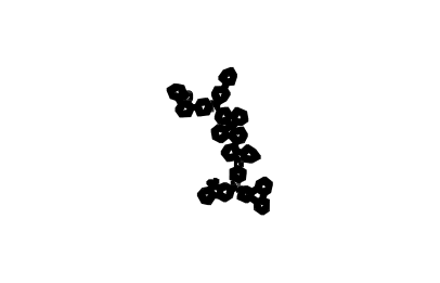 CC1(C)c2ccccc2-c2ccc(N(c3ccc(-n4c5ccccc5c5c(-c6cccc7c6-c6ccccc6C7(c6ccccc6)c6ccc(N(c7ccc(-c8ccccc8)cc7)c7ccc(-c8cccc9c8oc8ccccc89)cc7)cc6)cccc54)cc3)c3ccc4c5ccccc5c5ccccc5c4c3)cc21